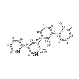 Cc1ccccc1-c1cccc(-c2cc(-c3ccccn3)cnc2C)c1C